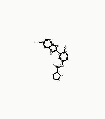 Cc1cnc2nc(-c3cc(NC(=O)C4CCCC4)ccc3Cl)[nH]c2c1